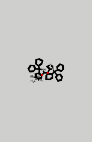 CC(C)(C)[Si](C)(C)OCC(Cc1cncn1C(c1ccccc1)(c1ccccc1)c1ccccc1)NC(c1ccccc1)(c1ccccc1)c1ccccc1